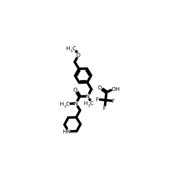 COCc1ccc(CN(C)C(=O)N(C)CC2CCNCC2)cc1.O=C(O)C(F)(F)F